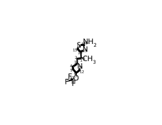 C/C(=C\c1ccc(OC(F)(F)F)cn1)c1csc(N)n1